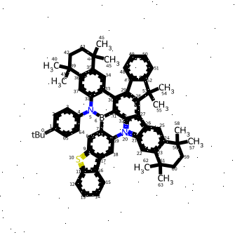 CC(C)(C)c1ccc(N2B3c4cc5sc6ccccc6c5cc4-n4c5cc6c(cc5c5c7c(c(c3c54)-c3cc4c(cc32)C(C)(C)CCC4(C)C)-c2ccccc2C7(C)C)C(C)(C)CCC6(C)C)cc1